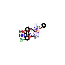 COC(=O)c1nc2oc1C13c4cc(ccc4OC1Nc1c(Br)cccc13)C[C@H](NC(=O)OCc1ccccc1)C(=O)N[C@H]2C(C)C